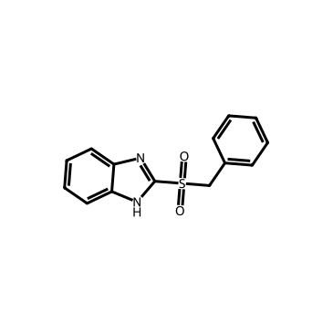 O=S(=O)(Cc1ccccc1)c1nc2ccccc2[nH]1